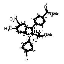 COCC(C)(C)c1c(-c2ccc(C(=O)OC)cc2)c2cc([N+](=O)[O-])c(C)nc2n1-c1ccc(F)cc1